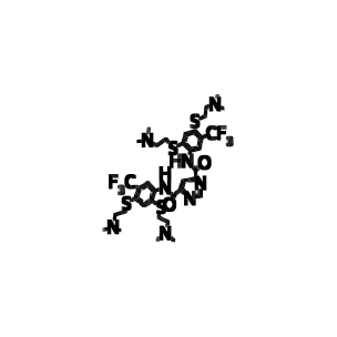 CN(C)CCSc1cc(SCCN(C)C)c(C(F)(F)F)cc1NC(=O)c1cc(C(=O)Nc2cc(C(F)(F)F)c(SCCN(C)C)cc2SCCN(C)C)ncn1